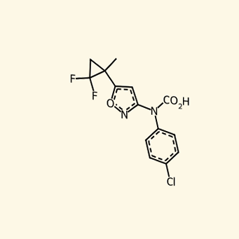 CC1(c2cc(N(C(=O)O)c3ccc(Cl)cc3)no2)CC1(F)F